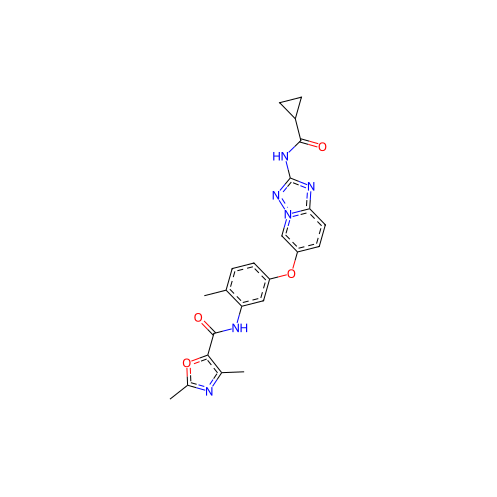 Cc1nc(C)c(C(=O)Nc2cc(Oc3ccc4nc(NC(=O)C5CC5)nn4c3)ccc2C)o1